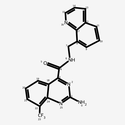 Nc1nc(C(=O)NCc2cccc3cccnc23)c2cccc(C(F)(F)F)c2n1